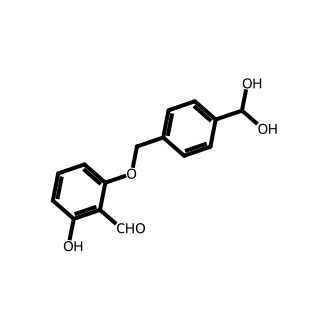 O=Cc1c(O)cccc1OCc1ccc(C(O)O)cc1